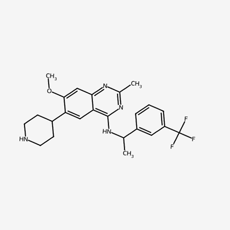 COc1cc2nc(C)nc(NC(C)c3cccc(C(F)(F)F)c3)c2cc1C1CCNCC1